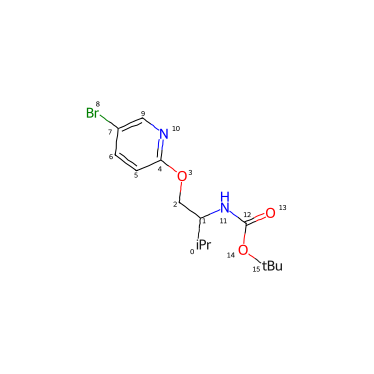 CC(C)C(COc1ccc(Br)cn1)NC(=O)OC(C)(C)C